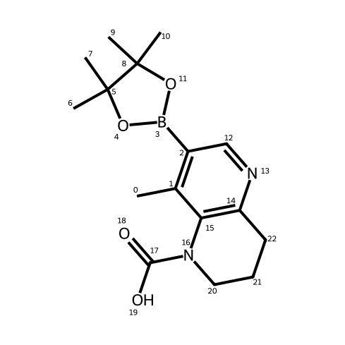 Cc1c(B2OC(C)(C)C(C)(C)O2)cnc2c1N(C(=O)O)CCC2